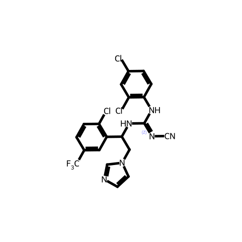 N#C/N=C(\Nc1ccc(Cl)cc1Cl)NC(Cn1ccnc1)c1cc(C(F)(F)F)ccc1Cl